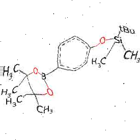 CC1(C)OB(c2ccc(O[Si](C)(C)C(C)(C)C)cc2)OC1(C)C